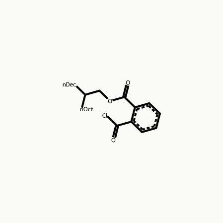 CCCCCCCCCCC(CCCCCCCC)COC(=O)c1ccccc1C(=O)Cl